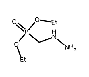 CCOP(=O)(CNN)OCC